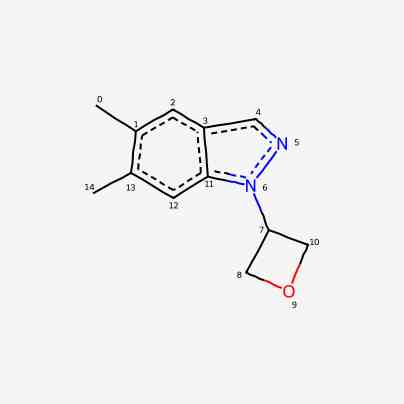 Cc1cc2cnn(C3COC3)c2cc1C